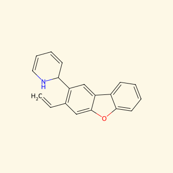 C=Cc1cc2oc3ccccc3c2cc1C1C=CC=CN1